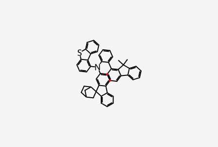 CC1(C)c2ccccc2-c2cccc(-c3ccccc3N(c3ccc4c(c3)C3(CC5CCC3C5)c3ccccc3-4)c3cccc4sc5ccccc5c34)c21